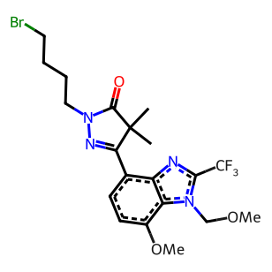 COCn1c(C(F)(F)F)nc2c(C3=NN(CCCCBr)C(=O)C3(C)C)ccc(OC)c21